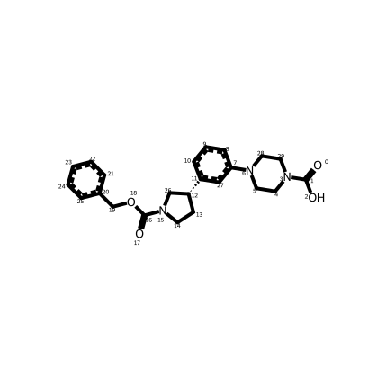 O=C(O)N1CCN(c2cccc([C@@H]3CCN(C(=O)OCc4ccccc4)C3)c2)CC1